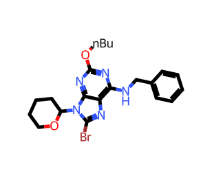 CCCCOc1nc(NCc2ccccc2)c2nc(Br)n(C3CCCCO3)c2n1